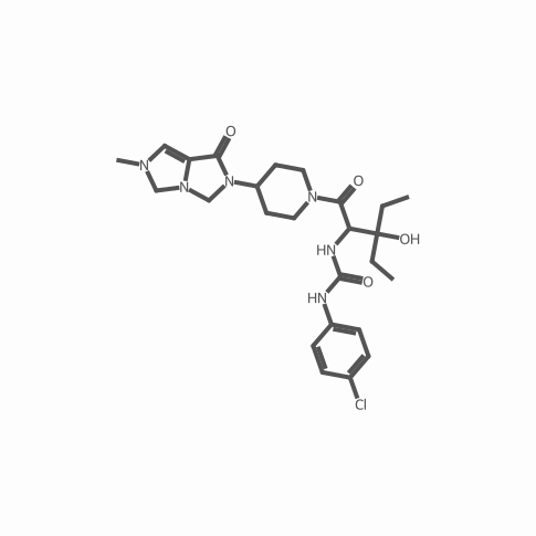 CCC(O)(CC)C(NC(=O)Nc1ccc(Cl)cc1)C(=O)N1CCC(N2CN3CN(C)C=C3C2=O)CC1